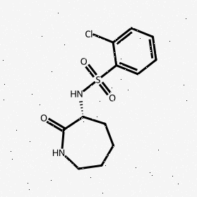 O=C1NCCCC[C@H]1NS(=O)(=O)c1ccccc1Cl